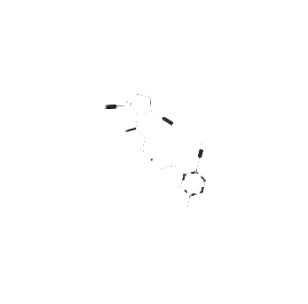 C#CC1CC[C@H](C#N)N1C(=O)CNC(C)(C)CNc1nc(C)ccc1C#N